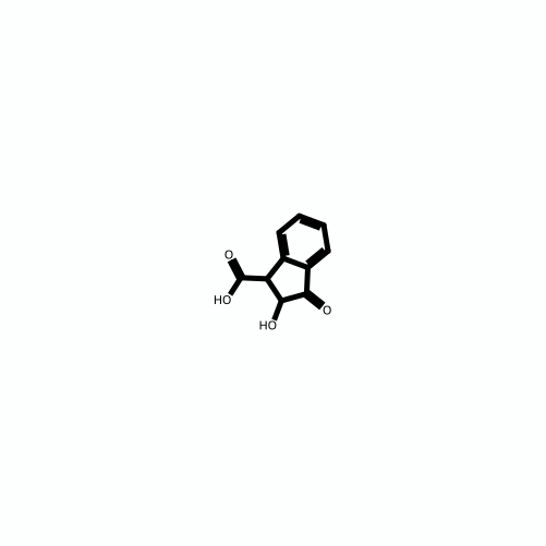 O=C1c2ccccc2C(C(=O)O)C1O